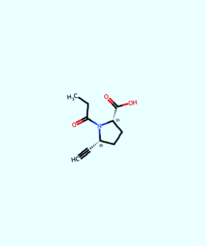 C#C[C@H]1CC[C@@H](C(=O)O)N1C(=O)CC